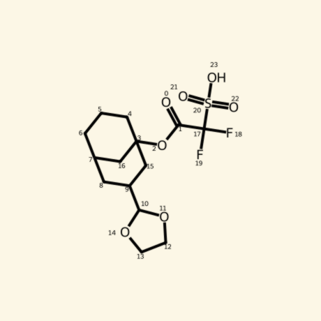 O=C(OC12CCCC(CC(C3OCCO3)C1)C2)C(F)(F)S(=O)(=O)O